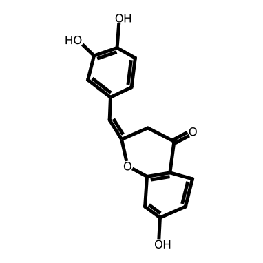 O=C1CC(=Cc2ccc(O)c(O)c2)Oc2cc(O)ccc21